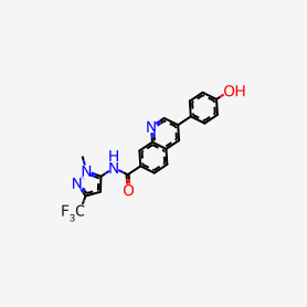 Cn1nc(C(F)(F)F)cc1NC(=O)c1ccc2cc(-c3ccc(O)cc3)cnc2c1